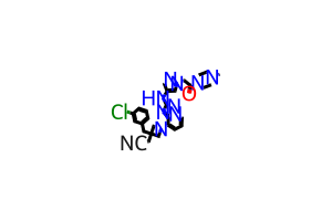 CN1CCN(C(=O)Cn2cc(Nc3nc4c(N5CC(CC#N)(Cc6cccc(Cl)c6)C5)cccn4n3)cn2)CC1